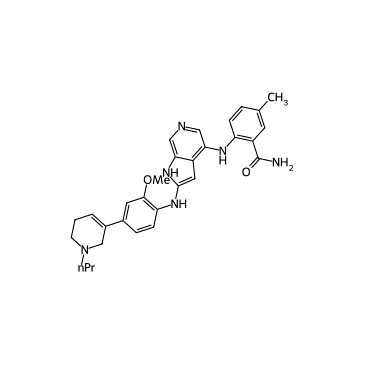 CCCN1CCC=C(c2ccc(Nc3cc4c(Nc5ccc(C)cc5C(N)=O)cncc4[nH]3)c(OC)c2)C1